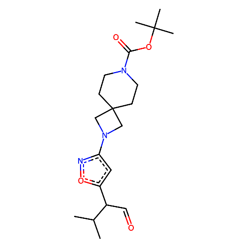 CC(C)C(C=O)c1cc(N2CC3(CCN(C(=O)OC(C)(C)C)CC3)C2)no1